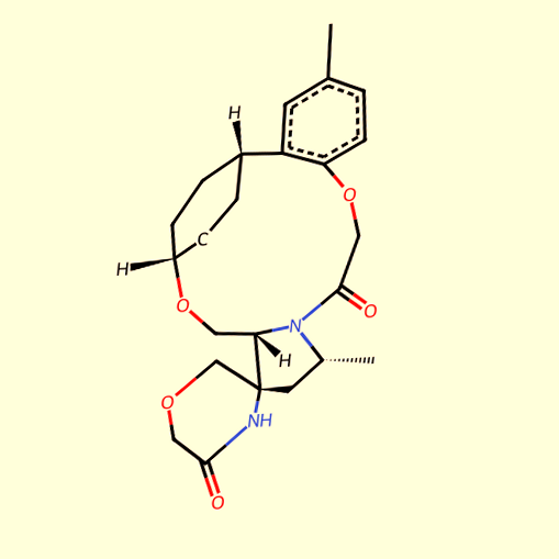 Cc1ccc2c(c1)[C@H]1CC[C@H](CC1)OC[C@@H]1N(C(=O)CO2)[C@H](C)C[C@@]12COCC(=O)N2